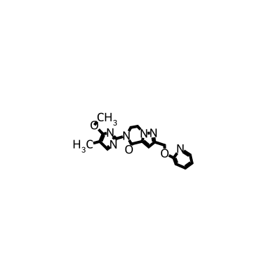 COc1nc(N2CCn3nc(COc4ccccn4)cc3C2=O)ncc1C